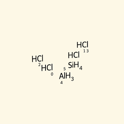 Cl.Cl.Cl.Cl.[AlH3].[SiH4]